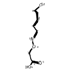 O=C(O)CON=CC=CCCl